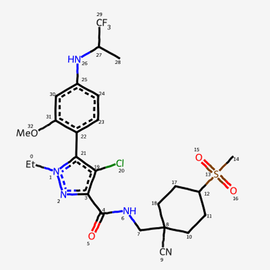 CCn1nc(C(=O)NCC2(C#N)CCC(S(C)(=O)=O)CC2)c(Cl)c1-c1ccc(NC(C)C(F)(F)F)cc1OC